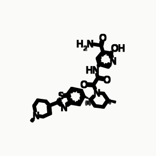 C[C@H]1CC[C@H](c2ccc3sc(C4=CCN(C)CCC4)nc3c2)N(C(=O)C(=O)Nc2cnc(O)c(C(N)=O)c2)C1